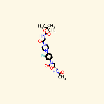 CC(=O)NC[C@H]1CN(c2ccc(N3CCN(C(=O)CNC(=O)OC(C)(C)C)CC3)c(F)c2)C(=O)O1